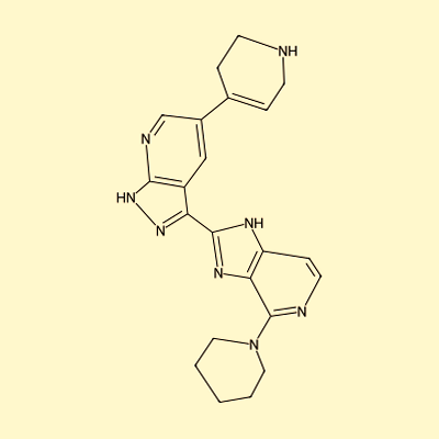 C1=C(c2cnc3[nH]nc(-c4nc5c(N6CCCCC6)nccc5[nH]4)c3c2)CCNC1